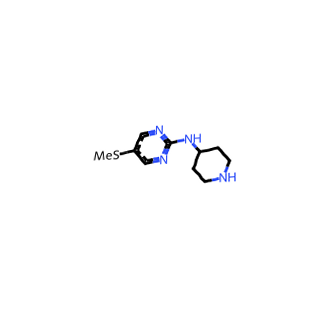 CSc1cnc(NC2CCNCC2)nc1